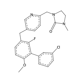 COc1ccc(Cc2ccc(CN3CCN(C)C3=O)nc2)c(F)c1-c1cccc(Cl)c1